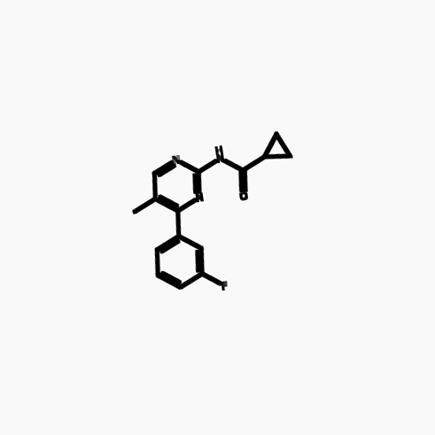 Cc1cnc(NC(=O)C2CC2)nc1-c1cccc(F)c1